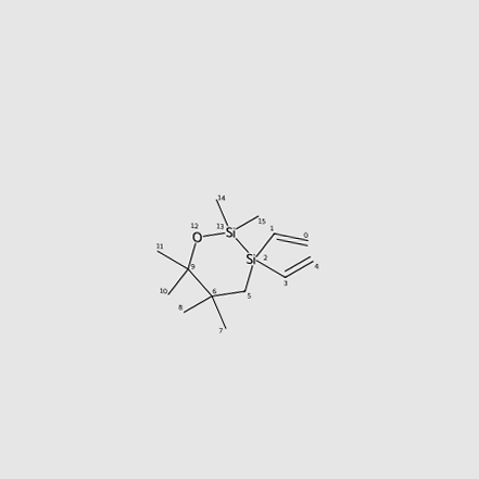 C=C[Si]1(C=C)CC(C)(C)C(C)(C)O[Si]1(C)C